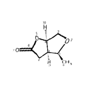 C[C@@H]1OC[C@@H]2OC(=O)C[C@H]12